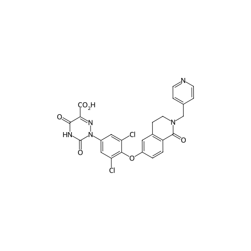 O=C(O)c1nn(-c2cc(Cl)c(Oc3ccc4c(c3)CCN(Cc3ccncc3)C4=O)c(Cl)c2)c(=O)[nH]c1=O